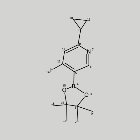 CC1(C)OB(c2cnc(C3CC3)cc2F)OC1(C)C